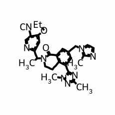 CCOc1cc(C(C)N2CCc3c(cc(Cn4ccnc4C)cc3-c3nc(C)nn3C)C2=O)ncc1C#N